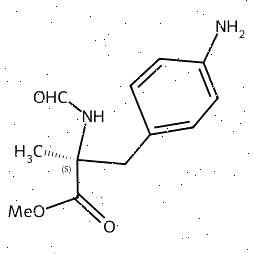 COC(=O)[C@](C)(Cc1ccc(N)cc1)NC=O